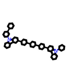 c1ccc(-c2cccc(-n3c4ccccc4c4cc(-c5ccc(-c6ccc(-c7ccc(-c8ccc9c(c8)c8ccccc8n9-c8ccccc8)cc7)cc6)cc5)ccc43)c2)cc1